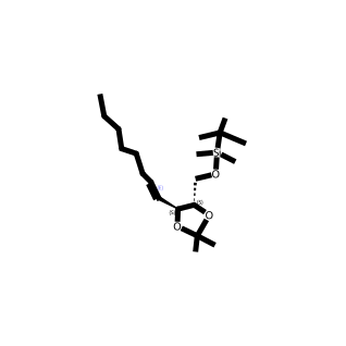 CCCCCC/C=C/[C@@H]1OC(C)(C)O[C@H]1CO[Si](C)(C)C(C)(C)C